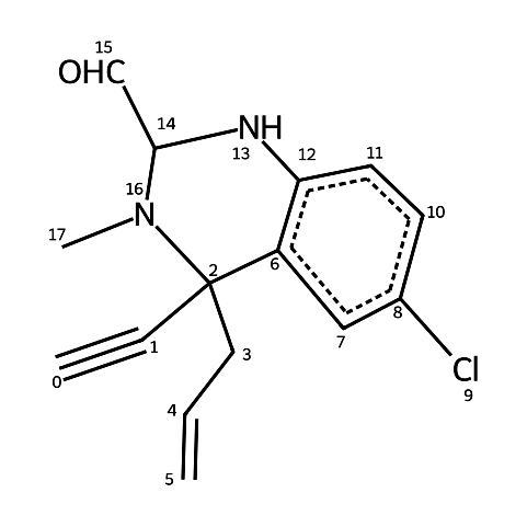 C#CC1(CC=C)c2cc(Cl)ccc2NC(C=O)N1C